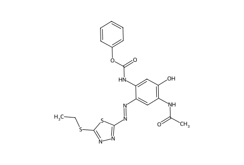 CCSc1nnc(/N=N/c2cc(NC(C)=O)c(O)cc2NC(=O)Oc2ccccc2)s1